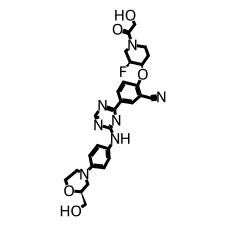 N#Cc1cc(-c2ncnc(Nc3ccc(N4CCO[C@H](CO)C4)cc3)n2)ccc1O[C@H]1CCN(C(=O)CO)C[C@@H]1F